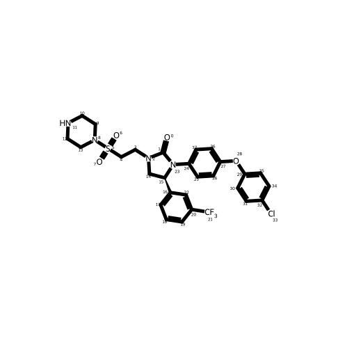 O=C1N(CCS(=O)(=O)N2CCNCC2)C[C@H](c2cccc(C(F)(F)F)c2)N1c1ccc(Oc2ccc(Cl)cc2)cc1